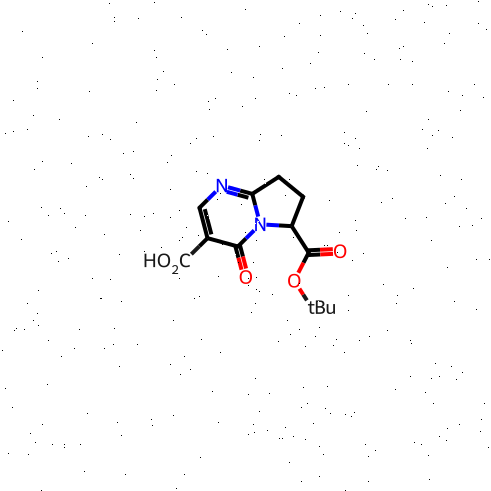 CC(C)(C)OC(=O)C1CCc2ncc(C(=O)O)c(=O)n21